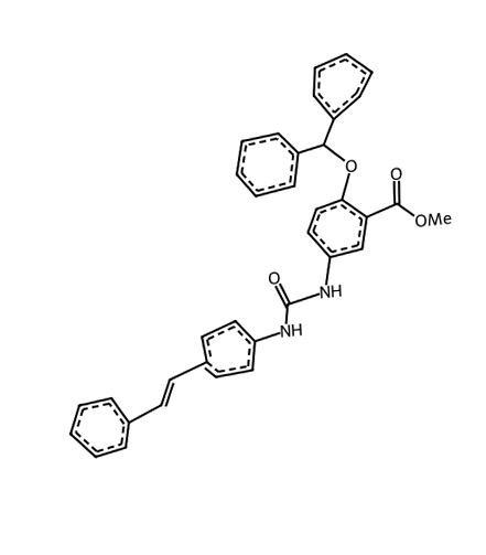 COC(=O)c1cc(NC(=O)Nc2ccc(/C=C/c3ccccc3)cc2)ccc1OC(c1ccccc1)c1ccccc1